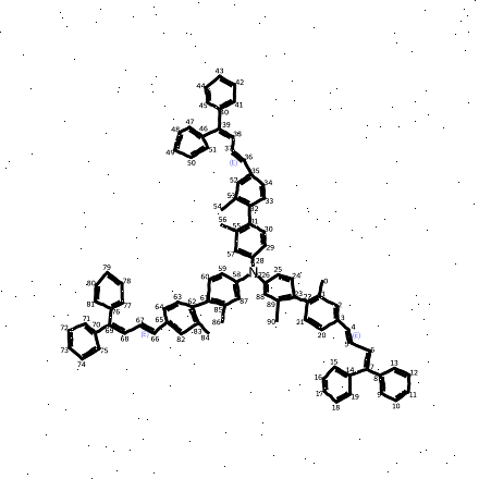 Cc1cc(/C=C/C=C(c2ccccc2)c2ccccc2)ccc1-c1ccc(N(c2ccc(-c3ccc(/C=C/C=C(c4ccccc4)c4ccccc4)cc3C)c(C)c2)c2ccc(-c3ccc(/C=C/C=C(c4ccccc4)c4ccccc4)cc3C)c(C)c2)cc1C